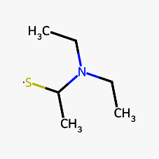 CCN(CC)C(C)[S]